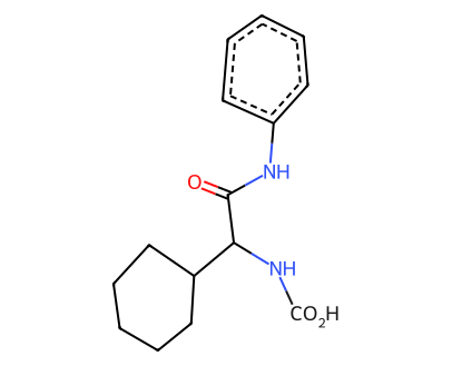 O=C(O)NC(C(=O)Nc1ccccc1)C1CCCCC1